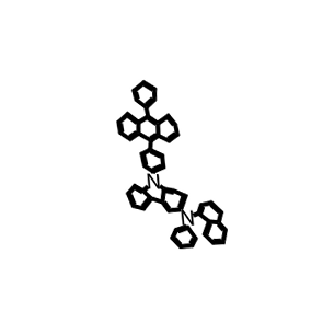 c1ccc(-c2c3ccccc3c(-c3ccc(-n4c5ccccc5c5cc(N(c6ccccc6)c6cccc7ccccc67)ccc54)cc3)c3ccccc23)cc1